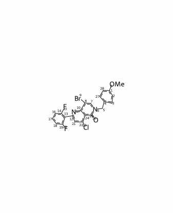 COc1ccc(Cn2cc(Br)c3nc(-c4c(F)cccc4F)cc(Cl)c3c2=O)cc1